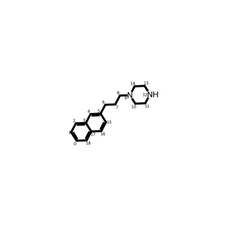 c1ccc2cc(CCCN3CCNCC3)ccc2c1